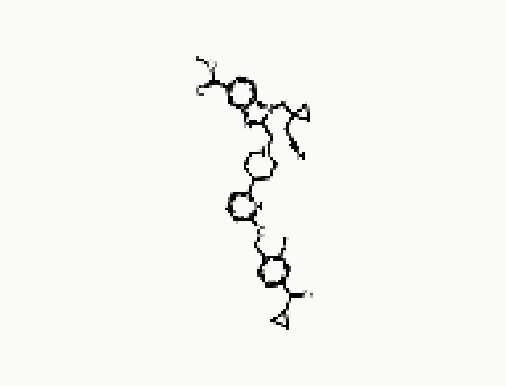 COC(=O)c1ccc2c(c1)nc(CN1CCC(c3cccc(OCc4ccc(C(=O)C5CC5)cc4F)n3)CC1)n2CC1(CC#N)CC1